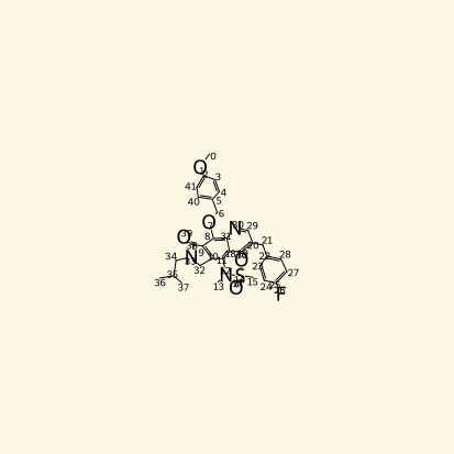 COc1ccc(COc2c3c(c(N(C)S(C)(=O)=O)c4cc(Cc5ccc(F)cc5)cnc24)CN(CC(C)C)C3=O)cc1